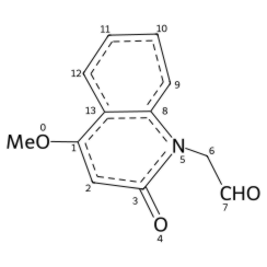 COc1cc(=O)n(CC=O)c2ccccc12